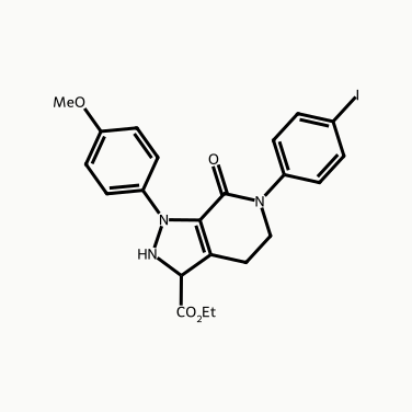 CCOC(=O)C1NN(c2ccc(OC)cc2)C2=C1CCN(c1ccc(I)cc1)C2=O